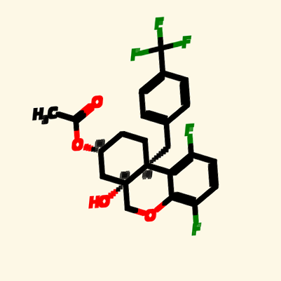 CC(=O)O[C@@H]1CC[C@@]2(Cc3ccc(C(F)(F)F)cc3)c3c(F)ccc(F)c3OC[C@@]2(O)C1